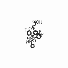 O=C(O)CCCOc1cc([C@@](Cc2ccccc2)(NC(=O)NC2CCCC2)c2cc(F)cc(C(F)(F)F)c2)ccc1F